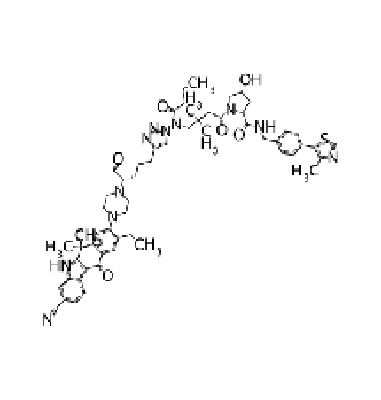 CCCC(=O)N(CC(C)(C)CC(=O)N1C[C@H](O)C[C@H]1C(=O)NCc1ccc(-c2scnc2C)cc1)n1cc(CCC[C@@H](C=O)N2CCN(c3cc4c(cc3CC)C(=O)c3c([nH]c5cc(C#N)ccc35)C4(C)C)CC2)nn1